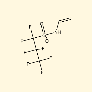 C=CNS(=O)(=O)C(F)(F)C(F)(F)C(F)(F)F